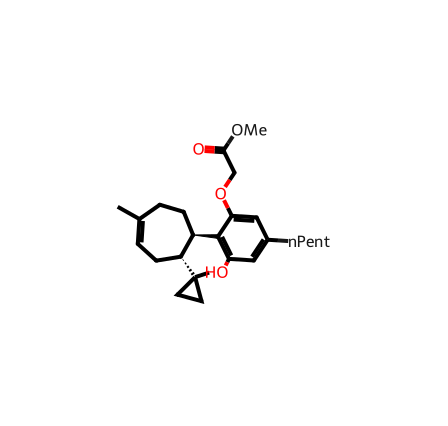 CCCCCc1cc(O)c([C@@H]2CCC(C)=CC[C@H]2C2(C)CC2)c(OCC(=O)OC)c1